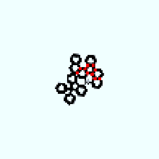 c1ccc(-c2ccccc2-c2ccccc2N(c2ccccc2-c2cccc(-c3cccc4ccccc34)c2)c2cccc3c2-c2ccccc2C3(c2ccccc2)c2ccccc2)cc1